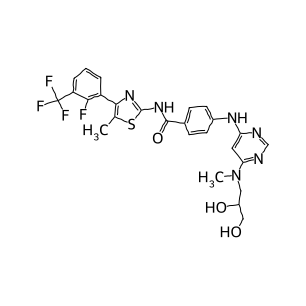 Cc1sc(NC(=O)c2ccc(Nc3cc(N(C)CC(O)CO)ncn3)cc2)nc1-c1cccc(C(F)(F)F)c1F